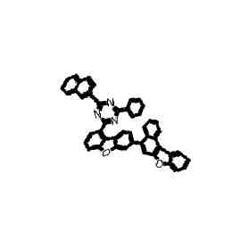 c1ccc(-c2nc(-c3ccc4ccccc4c3)nc(-c3cccc4oc5cc(-c6cc7oc8ccccc8c7c7ccccc67)ccc5c34)n2)cc1